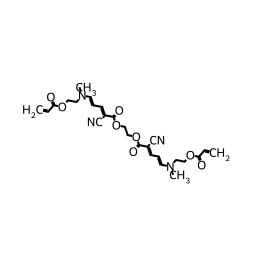 C=CC(=O)OCCN(C)/C=C/C=C(\C#N)C(=O)OCCOC(=O)/C(C#N)=C/C=C/N(C)CCOC(=O)C=C